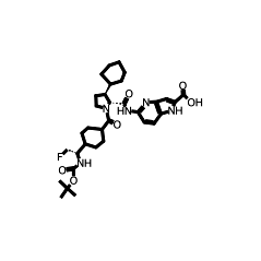 CC(C)(C)OC(=O)N[C@H](CF)C1CCC(C(=O)N2CC[C@@H](C3CCCCC3)[C@@H]2C(=O)Nc2ccc3[nH]c(C(=O)O)cc3n2)CC1